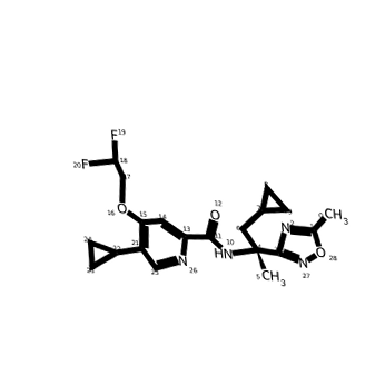 Cc1nc([C@@](C)(CC2CC2)NC(=O)c2cc(OCC(F)F)c(C3CC3)cn2)no1